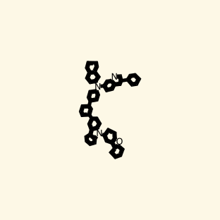 c1ccc(-c2cnc3cc(N(c4ccc(-c5cccc(-c6ccc7c(c6)c6ccccc6n7-c6ccc7oc8ccccc8c7c6)c5)cc4)c4ccc5ccccc5c4)ccc3c2)cc1